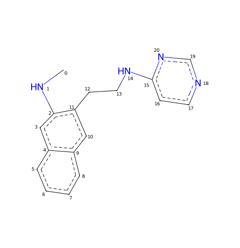 CNc1cc2ccccc2cc1CCNc1ccncn1